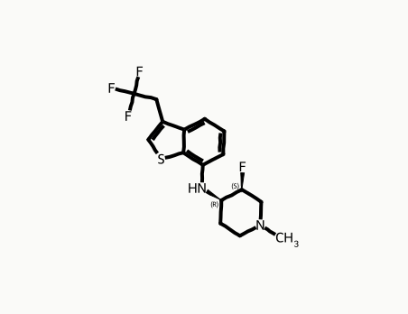 CN1CC[C@@H](Nc2cccc3c(CC(F)(F)F)csc23)[C@@H](F)C1